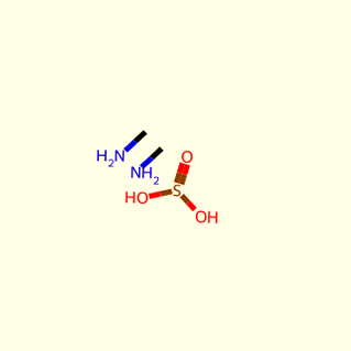 CN.CN.O=S(O)O